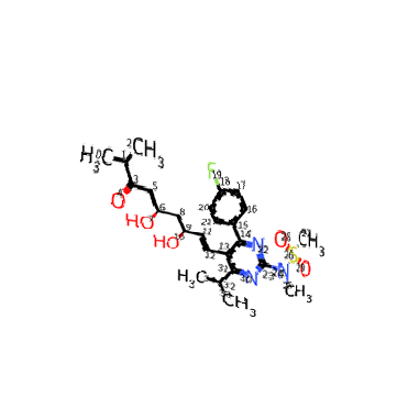 CC(C)C(=O)C[C@H](O)C[C@H](O)/C=C/c1c(-c2ccc(F)cc2)nc(N(C)S(C)(=O)=O)nc1C(C)C